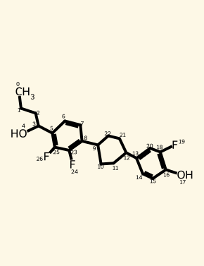 CCCC(O)c1ccc(C2CCC(c3ccc(O)c(F)c3)CC2)c(F)c1F